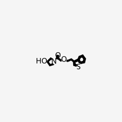 O=C(COCCc1csc2ccccc12)N1CCC(O)C1